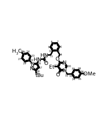 CCc1c(OCc2ccccc2CNC(=O)Nc2cc(C(C)(C)C)nn2-c2ccc(C)cc2)ncn(Cc2ccc(OC)cc2)c1=O